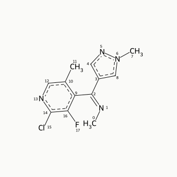 C/N=C(/c1cnn(C)c1)c1c(C)cnc(Cl)c1F